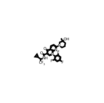 CC1(O)CCCN(c2ccc3c(=O)c(C(=O)NC(C4CC4)C(F)(F)F)cn(-c4c(F)cc(F)cc4F)c3n2)C1